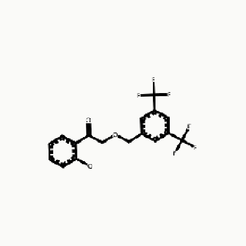 O=C(COCc1cc(C(F)(F)F)cc(C(F)(F)F)c1)c1ccccc1Cl